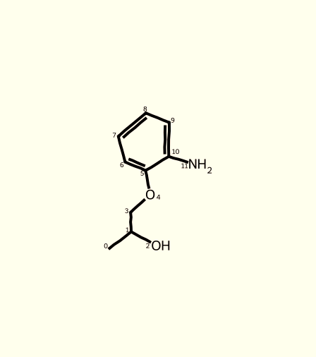 CC(O)COc1ccccc1N